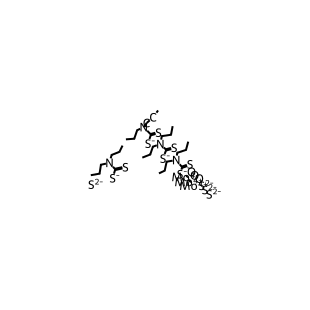 CCCN(CCC)C(=S)[S-].CCCN(CCC)C(=S)[S-].CCCN(CCC)C(=S)[S-].CCCN(CCC)C(=S)[S-].[O]=[Mo+4].[O]=[Mo+4].[O]=[Mo+4].[S-2].[S-2].[S-2].[S-2]